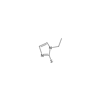 CCn1ccnc1[S]